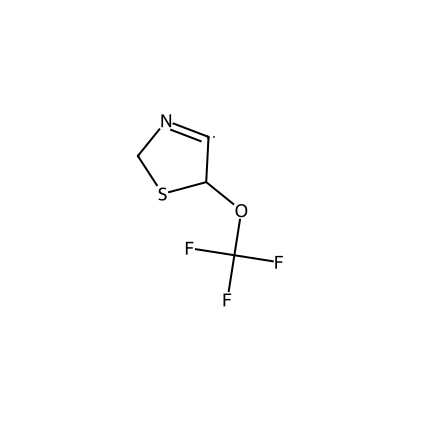 FC(F)(F)OC1[C]=NCS1